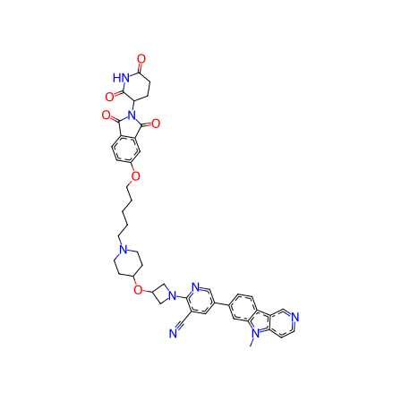 Cn1c2ccncc2c2ccc(-c3cnc(N4CC(OC5CCN(CCCCCOc6ccc7c(c6)C(=O)N(C6CCC(=O)NC6=O)C7=O)CC5)C4)c(C#N)c3)cc21